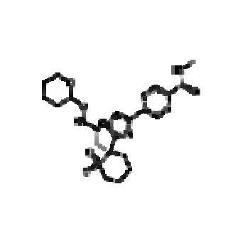 CNC(=O)c1ccc(-c2ccc([C@@]3(CC(=O)NOC4CCCCO4)CCCCS3(=O)=O)s2)cc1